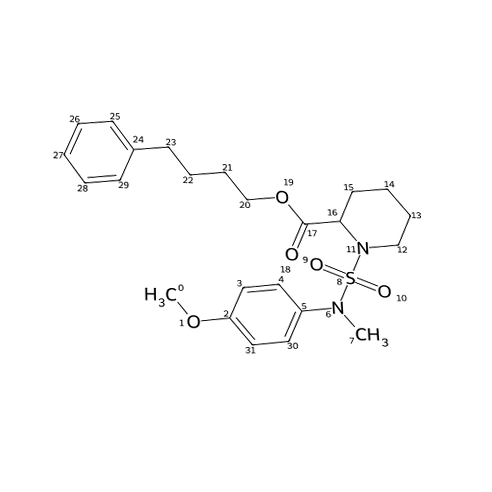 COc1ccc(N(C)S(=O)(=O)N2CCCCC2C(=O)OCCCCc2ccccc2)cc1